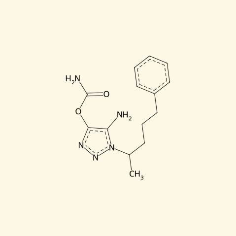 CC(CCCc1ccccc1)n1nnc(OC(N)=O)c1N